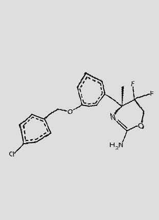 C[C@]1(c2cccc(OCc3ccc(Cl)cc3)c2)N=C(N)OCC1(F)F